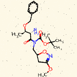 COC1=NOC(CN(C(=O)OC(C)(C)C)C(=O)[C@@H](N)[C@@H](C)OCc2ccccc2)C1